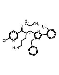 Cc1ccccc1-c1cn(Cc2ccccc2)c([C@@H](C(C)C)N(CCCN)C(=O)c2ccc(Cl)nc2)n1